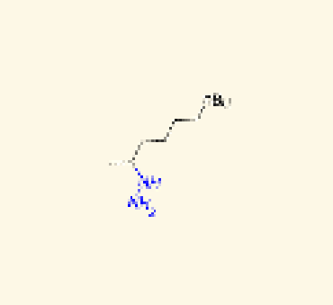 CCCCCCCCC(C)NN